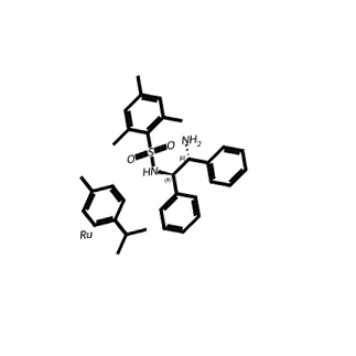 Cc1cc(C)c(S(=O)(=O)N[C@H](c2ccccc2)[C@H](N)c2ccccc2)c(C)c1.Cc1ccc(C(C)C)cc1.[Ru]